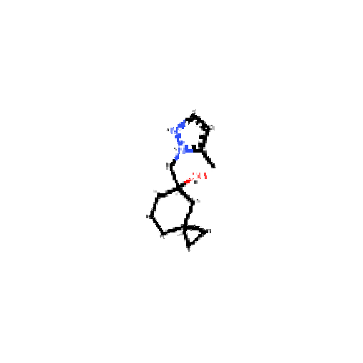 Cc1ccnn1CC1(O)CCCC2(CC2)C1